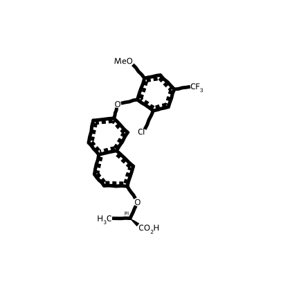 COc1cc(C(F)(F)F)cc(Cl)c1Oc1ccc2ccc(O[C@H](C)C(=O)O)cc2c1